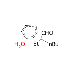 CCCCC(C=O)CC.O.c1ccccc1